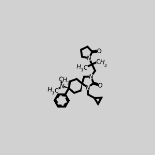 CN(C)[C@]1(c2ccccc2)CC[C@@]2(CC1)CN(CC(C)(C)N1CCCC1=O)C(=O)N2CC1CC1